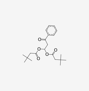 CC(C)(C)CC(=O)OC(CC(=O)c1ccccc1)OC(=O)CC(C)(C)C